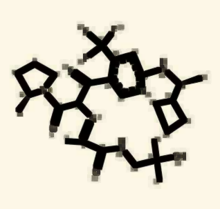 C/C(=N\C(C(=O)N1CCC[C@@H]1C)C(=S)c1cnc(N[C@@H](C)C2CCC2)cc1C(F)(F)F)C(=O)NCC(C)(C)O